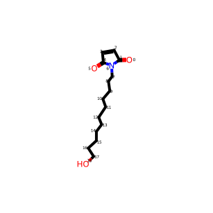 O=C1C=CC(=O)N1CCCCCCCCCCCO